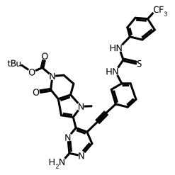 Cn1c(-c2nc(N)ncc2C#Cc2cccc(NC(=S)Nc3ccc(C(F)(F)F)cc3)c2)cc2c1CCN(C(=O)OC(C)(C)C)C2=O